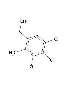 [CH]Cc1cc(Cl)c(Cl)c(Cl)c1C